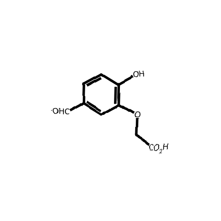 O=[C]c1ccc(O)c(OCC(=O)O)c1